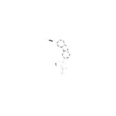 CC#Cc1ccc2sc3ccc(C(C)(CC(=O)O)N[S@+]([O-])C(C)(C)C)cc3c2c1